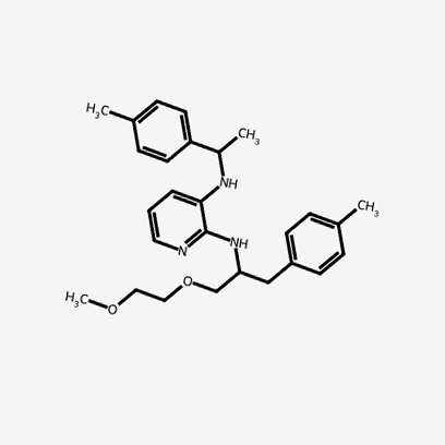 COCCOCC(Cc1ccc(C)cc1)Nc1ncccc1NC(C)c1ccc(C)cc1